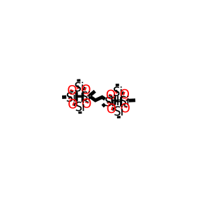 C[SiH]1O[SiH](C)O[Si](C)(CC[Si]2(C)O[SiH](C)O[SiH](C)O[SiH](C)O2)O[SiH](C)O1